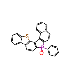 O=P1(c2ccccc2)c2ccc3ccccc3c2-c2c1ccc1c2sc2ccccc21